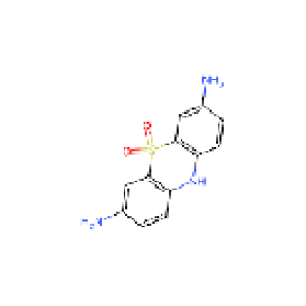 Nc1ccc2c(c1)S(=O)(=O)c1cc(N)ccc1N2